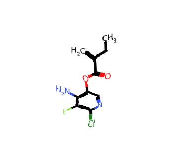 C=C(CC)C(=O)Oc1cnc(Cl)c(F)c1N